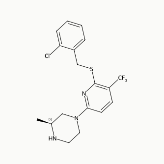 C[C@H]1CN(c2ccc(C(F)(F)F)c(SCc3ccccc3Cl)n2)CCN1